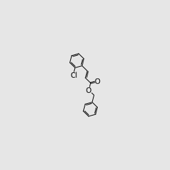 O=C(C=Cc1ccccc1Cl)OCc1ccccc1